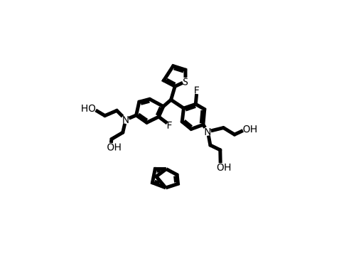 C1=CC2=CC=C1C2.OCCN(CCO)c1ccc(C(c2cccs2)c2ccc(N(CCO)CCO)cc2F)c(F)c1